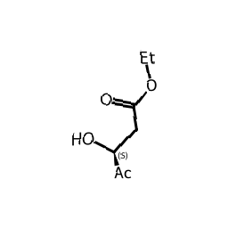 CCOC(=O)C[C@H](O)C(C)=O